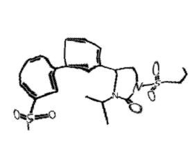 CCS(=O)(=O)N1CC(c2cccc(-c3cccc(S(C)(=O)=O)c3)c2)N(C(C)C)C1=O